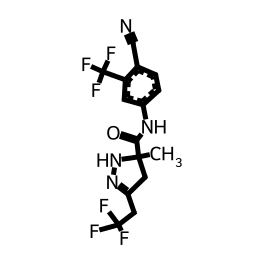 CC1(C(=O)Nc2ccc(C#N)c(C(F)(F)F)c2)CC(CC(F)(F)F)=NN1